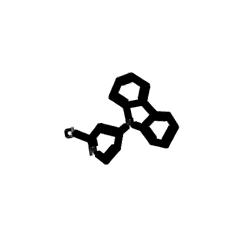 Clc1cc(-n2c3ccccc3c3ccccc32)ccn1